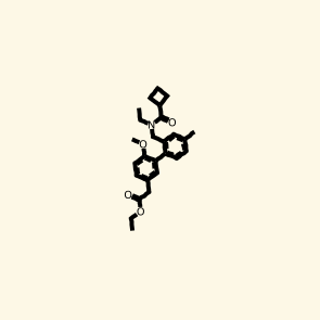 CCOC(=O)Cc1ccc(OC)c(-c2ccc(C)cc2CN(CC)C(=O)C2CCC2)c1